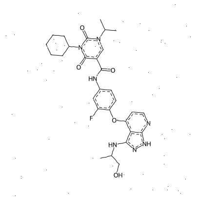 CC(CO)Nc1n[nH]c2nccc(Oc3ccc(NC(=O)c4cn(C(C)C)c(=O)n(C5CCCCC5)c4=O)cc3F)c12